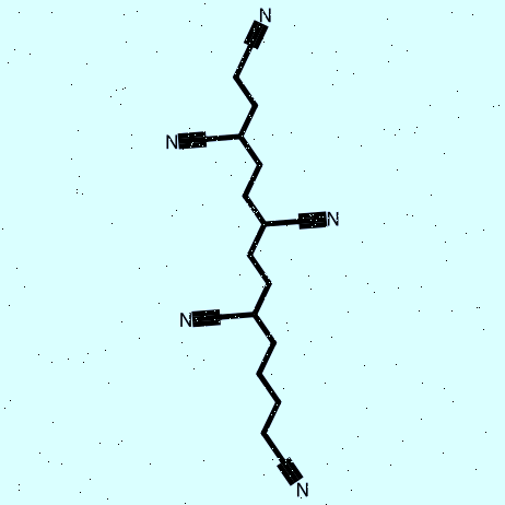 N#CCCCCC(C#N)CCC(C#N)CCC(C#N)CCC#N